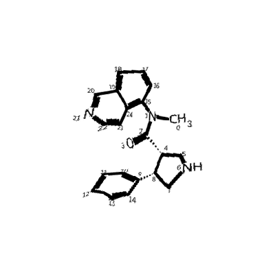 CN(C(=O)[C@@H]1CNC[C@@H]1c1ccccc1)c1cccc2cnccc12